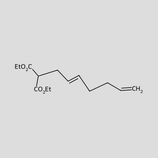 C=CCCC=CCC(C(=O)OCC)C(=O)OCC